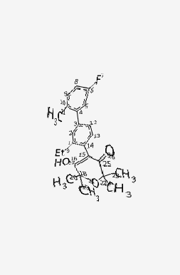 CCc1cc(-c2cc(F)ccc2C)ccc1C1=C(O)C(C)(C)OC(C)(C)C1=O